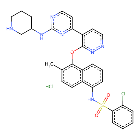 Cc1ccc2c(NS(=O)(=O)c3ccccc3Cl)cccc2c1Oc1nnccc1-c1ccnc(NC2CCCNC2)n1.Cl